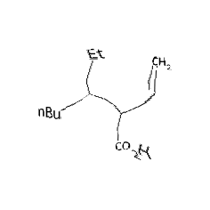 C=CC(C(=O)O)C(CC)CCCC